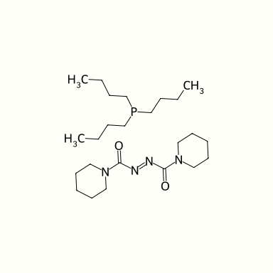 CCCCP(CCCC)CCCC.O=C(N=NC(=O)N1CCCCC1)N1CCCCC1